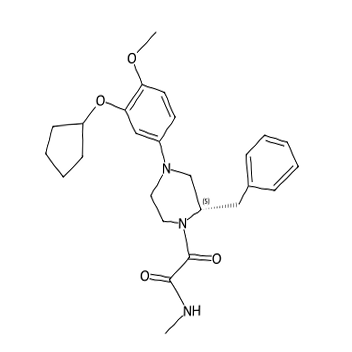 CNC(=O)C(=O)N1CCN(c2ccc(OC)c(OC3CCCC3)c2)C[C@@H]1Cc1ccccc1